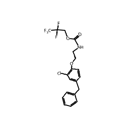 O=C(NCCOc1ccc(Cc2ccccc2)cc1Cl)OCC(F)(F)C(F)(F)F